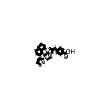 O=C(O)c1ccc(C=C(COc2cccc3ccccc23)CN2CCN(c3ccccn3)CC2)cc1